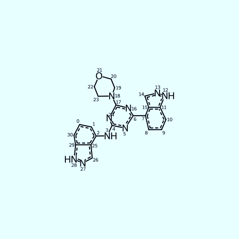 c1cc(Nc2nc(-c3cccc4[nH]ncc34)nc(N3CCOCC3)n2)c2cn[nH]c2c1